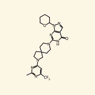 Cc1nc(N2CCC3(CCN(c4nc5c(cnn5C5CCCCO5)c(=O)[nH]4)CC3)C2)cc(C(F)(F)F)n1